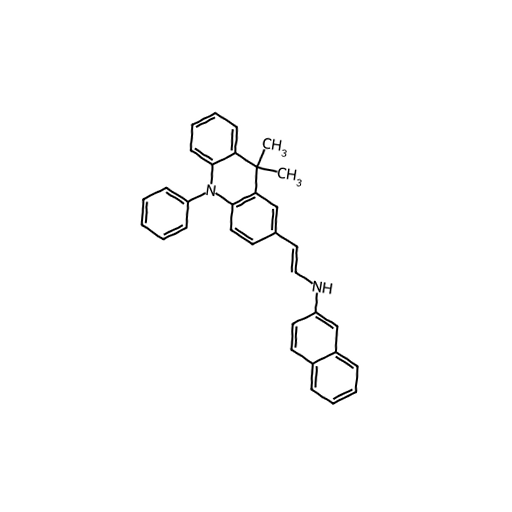 CC1(C)c2ccccc2N(c2ccccc2)c2ccc(/C=C/Nc3ccc4ccccc4c3)cc21